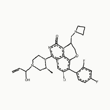 C=CC(O)N1CCN(c2nc(=O)n3c4c(c(-c5ccc(F)cc5F)c(Cl)cc24)OCC3CN2CCC2)[C@@H](C)C1